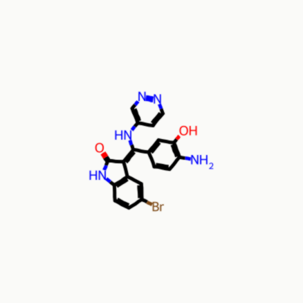 Nc1ccc(/C(Nc2ccnnc2)=C2/C(=O)Nc3ccc(Br)cc32)cc1O